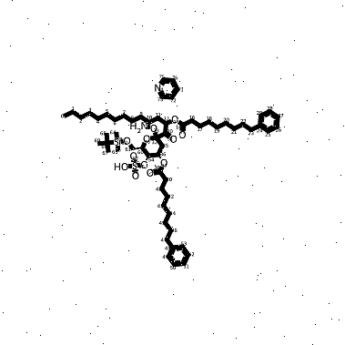 CCCCCCCCCCCCC(OC(=O)CCCCCCCCc1ccccc1)C(=O)C1(ON)C[C@H](OC(=O)CCCCCCCCc2ccccc2)[C@H](OS(=O)(=O)O)[C@@H](CO[Si](C)(C)C(C)(C)C)O1.c1ccncc1